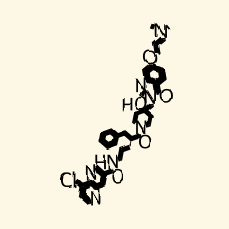 CN(C)CCCOc1ccc2c(=O)n(CC3(O)CCN(C(=O)[C@H](CCCNC(=O)c4cnc5c(Cl)ccnc5c4)Cc4ccccc4)CC3)cnc2c1